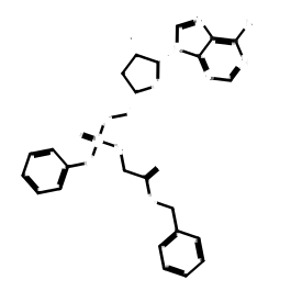 Nc1ncnc2c1ncn2[C@@H]1O[C@H](COP(=O)(NCC(=O)OCc2ccccc2)Oc2ccccc2)C[C@@H]1O